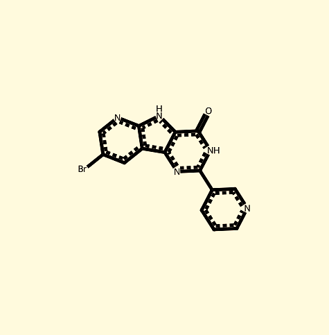 O=c1[nH]c(-c2cccnc2)nc2c1[nH]c1ncc(Br)cc12